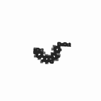 CCCCCCCCOc1ccc(-c2cc3c(cc2C)oc2cc(C)c(-c4ccc(OCCCCCCCC)cc4)cc23)cc1